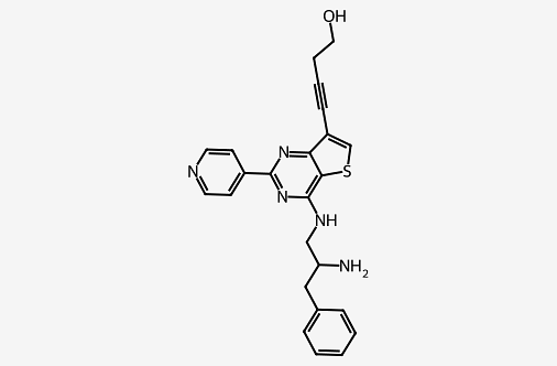 NC(CNc1nc(-c2ccncc2)nc2c(C#CCCO)csc12)Cc1ccccc1